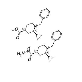 COC(=O)[C@H]1CCN(Cc2ccccc2)[C@@H](C2CC2)C1.NNC(=O)[C@H]1CCN(Cc2ccccc2)[C@@H](C2CC2)C1